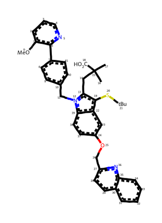 COc1cccnc1-c1ccc(Cn2c(CC(C)(C)C(=O)O)c(SC(C)(C)C)c3cc(OCc4ccc5ccccc5n4)ccc32)cc1